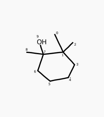 CC1(C)C[CH]CCC1(C)O